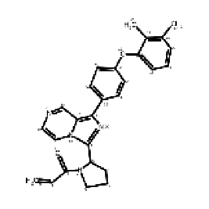 C=CC(=O)N1CCCC1c1nc(-c2ccc(Oc3cccc(C)c3C)cc2)c2cnccn12